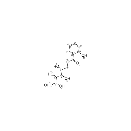 O=C[C@H](O)[C@@H](O)[C@H](O)[C@H](O)COC(=O)c1ccccc1O